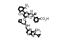 Cc1cccc(C)c1-c1cc(OCC(CC23CC(C2)C3)NCc2cnc3nc(C4CC4)n(C)c3n2)nc(NS(=O)(=O)c2cccc(C(=O)O)c2)n1